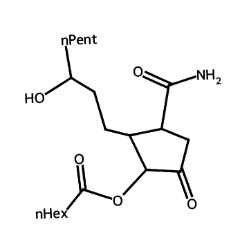 CCCCCCC(=O)OC1C(=O)CC(C(N)=O)C1CCC(O)CCCCC